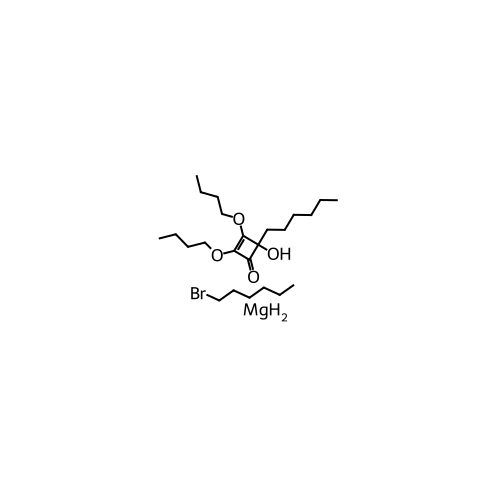 CCCCCCBr.CCCCCCC1(O)C(=O)C(OCCCC)=C1OCCCC.[MgH2]